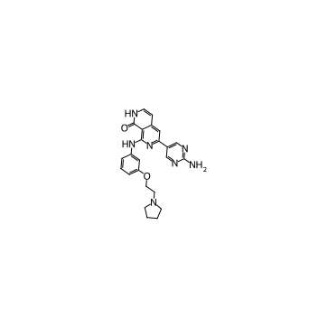 Nc1ncc(-c2cc3cc[nH]c(=O)c3c(Nc3cccc(OCCN4CCCC4)c3)n2)cn1